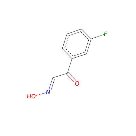 O=C(C=NO)c1cccc(F)c1